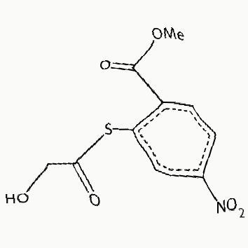 COC(=O)c1ccc([N+](=O)[O-])cc1SC(=O)CO